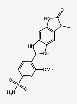 COc1cc(S(N)(=O)=O)ccc1C1Nc2cc3c(cc2N1)C(C)C(=O)N3